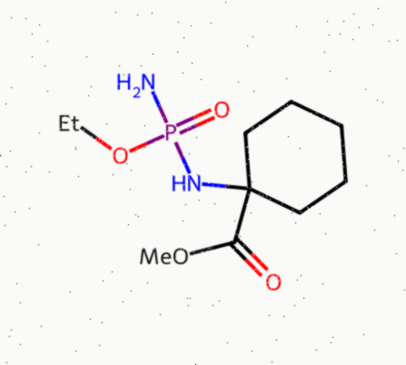 CCOP(N)(=O)NC1(C(=O)OC)CCCCC1